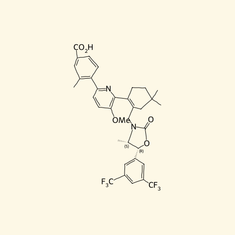 COc1ccc(-c2ccc(C(=O)O)cc2C)nc1C1=C(CN2C(=O)O[C@H](c3cc(C(F)(F)F)cc(C(F)(F)F)c3)[C@@H]2C)CC(C)(C)CC1